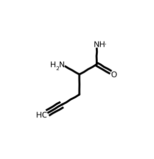 C#CCC(N)C([NH])=O